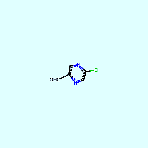 O=Cc1cnc(Cl)cn1